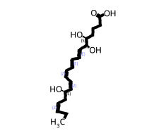 CC/C=C\C[C@H](O)\C=C/C=C\C=C\C=C\[C@H](O)[C@@H](O)CCCC(=O)O